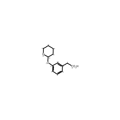 O=C(O)Cc1cccc(OC2CCCCO2)c1